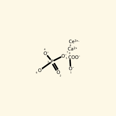 O=C([O-])[O-].O=P([O-])([O-])[O-].[Ca+2].[Ce+3]